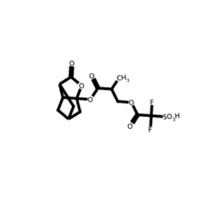 CC(COC(=O)C(F)(F)S(=O)(=O)O)C(=O)OC12CC3CC(C(=O)O1)C2C3